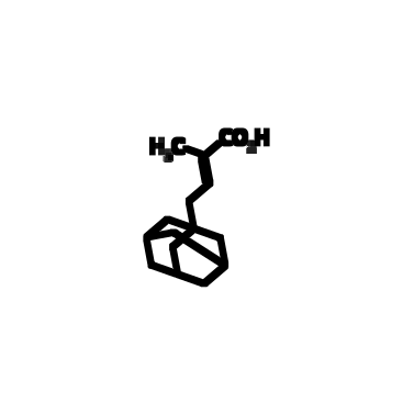 CC(=CCC12CC3CC(CC(C3)C1)C2)C(=O)O